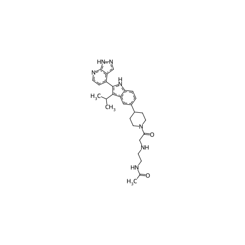 CC(=O)NCCNCC(=O)N1CCC(c2ccc3[nH]c(-c4ccnc5[nH]ncc45)c(C(C)C)c3c2)CC1